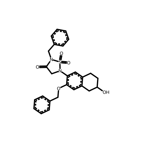 O=C1CN(c2cc3c(cc2OCc2ccccc2)CC(O)CC3)S(=O)(=O)N1Cc1ccccc1